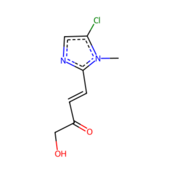 Cn1c(Cl)cnc1/C=C/C(=O)CO